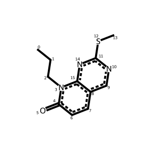 CCCn1c(=O)ccc2cnc(SC)nc21